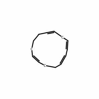 [CH]1C=CCC=CC=CCCC=CCC1